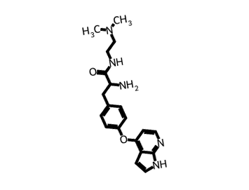 CN(C)CCNC(=O)C(N)Cc1ccc(Oc2ccnc3[nH]ccc23)cc1